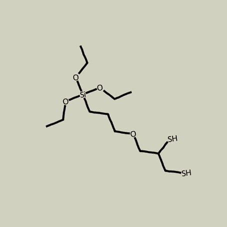 CCO[Si](CCCOCC(S)CS)(OCC)OCC